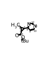 CC1C(C(=O)OC(C)(C)C)C1c1ccncn1